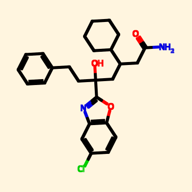 NC(=O)CC(CC(O)(CCc1ccccc1)c1nc2cc(Cl)ccc2o1)C1CCCCC1